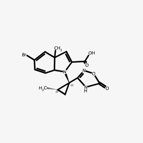 C[C@H]1C[C@]1(c1noc(=O)[nH]1)N1C(C(=O)O)=CC2(C)C=C(Br)C=CC12